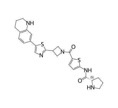 O=C(Nc1ccc(C(=O)N2CC(c3ncc(-c4ccc5c(c4)NCCC5)s3)C2)s1)[C@@H]1CCCN1